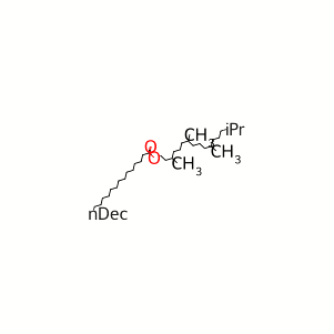 CCCCCCCCCCCCCCCCCCCCCCCC(=O)OCCC(C)CCCC(C)CCCC(C)CCCC(C)C